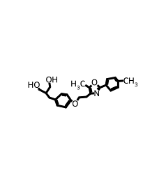 Cc1ccc(-c2nc(CCOc3ccc(CC(CO)CO)cc3)c(C)o2)cc1